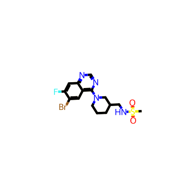 CS(=O)(=O)NCC1CCCN(c2ncnc3cc(F)c(Br)cc23)C1